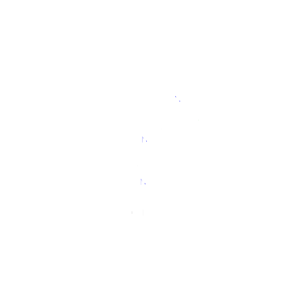 Cc1cccc(CNc2cc(Cl)nc3cccc(-c4ccccc4)c23)n1